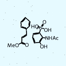 CC(=O)Nc1c(O)cccc1[As](=O)(O)O.COC(=O)C=Cc1ccccc1